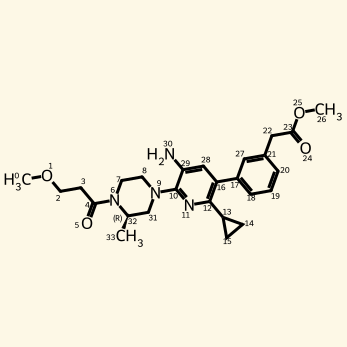 COCCC(=O)N1CCN(c2nc(C3CC3)c(-c3cccc(CC(=O)OC)c3)cc2N)C[C@H]1C